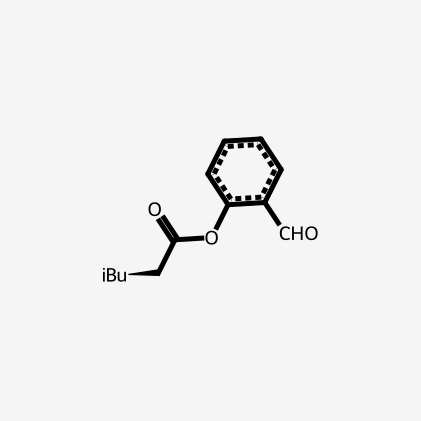 CC[C@H](C)CC(=O)Oc1ccccc1C=O